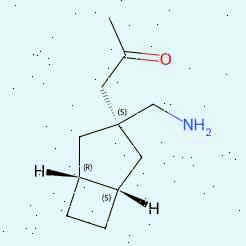 CC(=O)C[C@@]1(CN)C[C@H]2CC[C@H]2C1